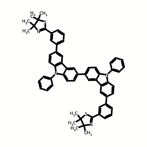 CC1(C)N=C(c2cccc(-c3ccc4c(c3)c3cc(-c5ccc6c(c5)c5cc(-c7cccc(C8=NC(C)(C)C(C)(C)S8)c7)ccc5n6-c5ccccc5)ccc3n4-c3ccccc3)c2)SC1(C)C